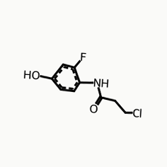 O=C(CCCl)Nc1ccc(O)cc1F